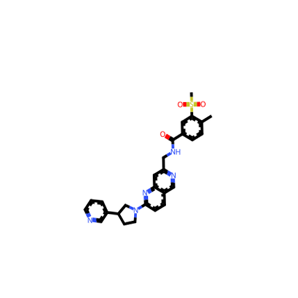 Cc1ccc(C(=O)NCc2cc3nc(N4CCC(c5cccnc5)C4)ccc3cn2)cc1S(C)(=O)=O